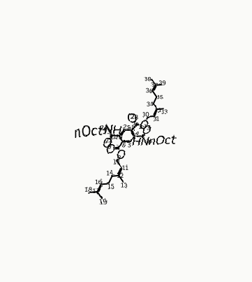 CCCCCCCCNC(=O)c1cc(C(=O)OCC=C(C)CCC=C(C)C)c(C(=O)NCCCCCCCC)cc1C(=O)OCC=C(C)CCC=C(C)C